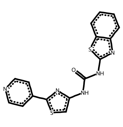 O=C(Nc1csc(-c2ccncc2)n1)Nc1nc2ccccc2s1